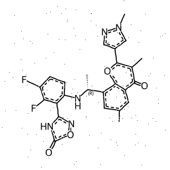 Cc1cc([C@@H](C)Nc2ccc(F)c(F)c2-c2noc(=O)[nH]2)c2oc(-c3cnn(C)c3)c(C)c(=O)c2c1